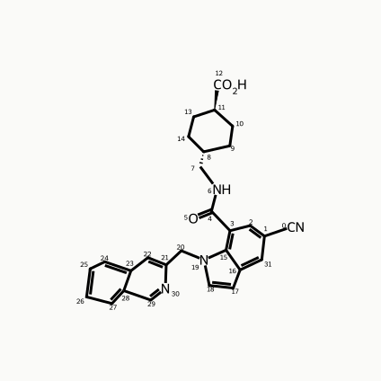 N#Cc1cc(C(=O)NC[C@H]2CC[C@H](C(=O)O)CC2)c2c(ccn2Cc2cc3ccccc3cn2)c1